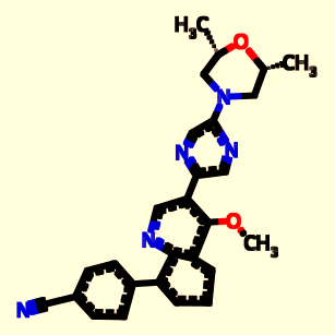 COc1c(-c2cnc(N3C[C@@H](C)O[C@@H](C)C3)cn2)cnc2c(-c3ccc(C#N)cc3)cccc12